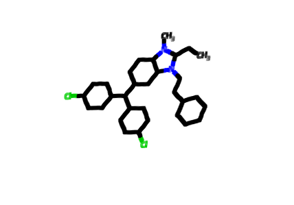 CCC1N(C)C2CCC(C(C3CCC(Cl)CC3)C3CCC(Cl)CC3)CC2N1CCC1CCCCC1